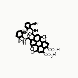 CC(C)c1cccc(C(C)C)c1NC(=O)c1cc(Cl)c2c3c(Cl)cc(C(=O)O)c4c(C(=O)O)cc(Cl)c(c5c(Cl)cc(C(=O)Nc6c(C(C)C)cccc6C(C)C)c1c25)c43